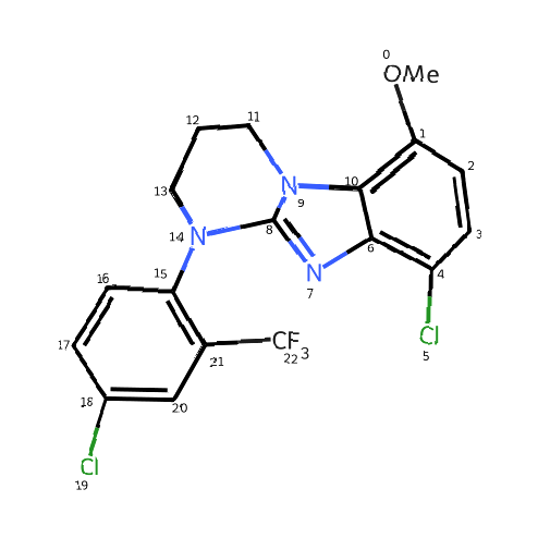 COc1ccc(Cl)c2nc3n(c12)CCCN3c1ccc(Cl)cc1C(F)(F)F